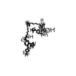 Cc1ncsc1-c1ccc([C@H](C)NC(=O)[C@@H]2C[C@@H](O)CN2C(=O)[C@@H](NC(=O)CCCCCc2cn(CCCCCCCNC(=O)c3ccc4c(c3)c3cn(C)nc3n4-c3ccc(C(F)(F)F)cc3)nn2)C(C)(C)C)cc1